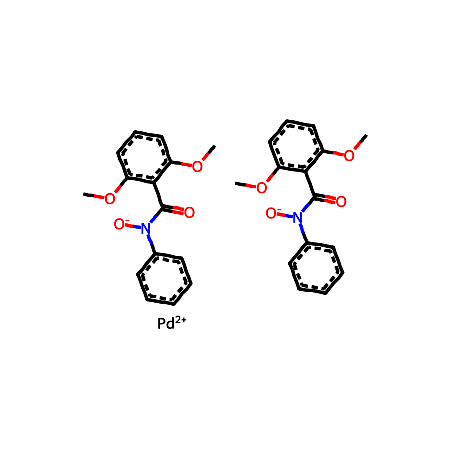 COc1cccc(OC)c1C(=O)N([O-])c1ccccc1.COc1cccc(OC)c1C(=O)N([O-])c1ccccc1.[Pd+2]